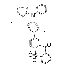 O=C1c2cc(-c3ccc(N(c4ccccc4)c4ccccc4)cc3)c#cc2S(=O)(=O)c2ccccc21